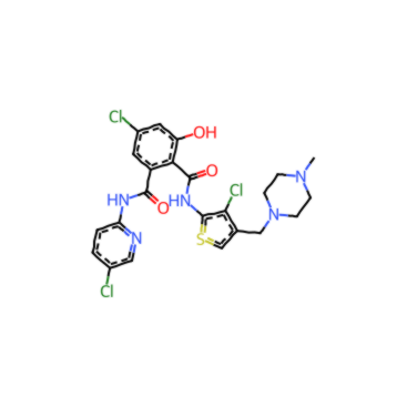 CN1CCN(Cc2csc(NC(=O)c3c(O)cc(Cl)cc3C(=O)Nc3ccc(Cl)cn3)c2Cl)CC1